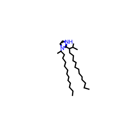 CCCCCCCCCCCCC(c1[nH]cc[n+]1C(C)CCCCCCCCCCCC)C(C)C